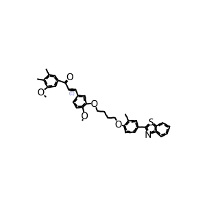 COc1ccc(/C=C/C(=O)c2cc(C)c(C)c(OC)c2)cc1OCCCCOc1ccc(-c2nc3ccccc3s2)cc1C